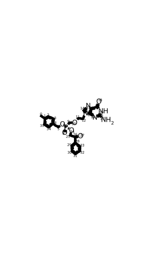 Cc1ccc(COP(=O)(COCCn2cnc3c(=O)[nH]c(N)nc32)OCC(=O)c2ccccc2)cc1